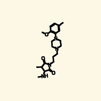 CNC1C(=O)N(CCCN2CCN(c3cc(C)ccc3OC)CC2)C(=O)C1C